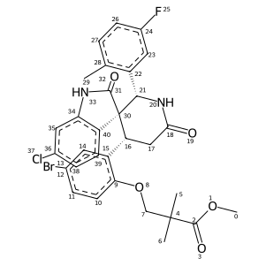 COC(=O)C(C)(C)COc1ccc(Br)cc1[C@H]1CC(=O)N[C@@H](c2cc(F)ccc2C)[C@]12C(=O)Nc1cc(Cl)ccc12